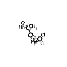 CC/C(=C\C(=O)NC1CCC1)c1ccc2c(c1)CC(c1cc(Cl)cc(Cl)c1)(C(F)(F)F)O2